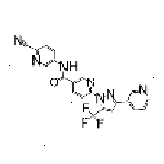 N#Cc1ccc(NC(=O)c2ccc(-n3nc(-c4cccnc4)cc3C(F)(F)F)nc2)cn1